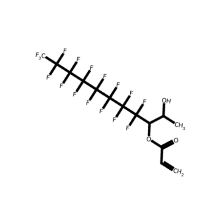 C=CC(=O)OC(C(C)O)C(F)(F)C(F)(F)C(F)(F)C(F)(F)C(F)(F)C(F)(F)C(F)(F)C(F)(F)F